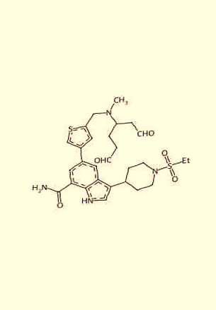 CCS(=O)(=O)N1CCC(c2c[nH]c3c(C(N)=O)cc(-c4csc(CN(C)C(CC=O)CCC=O)c4)cc23)CC1